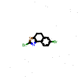 Brc1ccc2c(c1)CCc1sc(Br)nc1-2